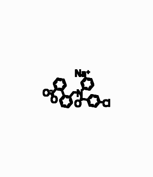 O=C([O-])c1ccccc1-c1ccccc1CN(C(=O)c1ccc(Cl)cc1)c1ccccc1.[Na+]